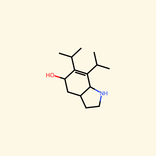 CC(C)C1=C(C(C)C)C2NCCC2CC1O